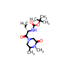 CC[C@H](NC(=O)OC(C)(C)C)C(=O)N1CC(=O)N(C)C(C)C1